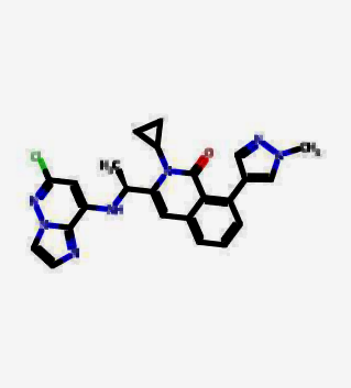 C[C@H](Nc1cc(Cl)nn2ccnc12)c1cc2cccc(-c3cnn(C)c3)c2c(=O)n1C1CC1